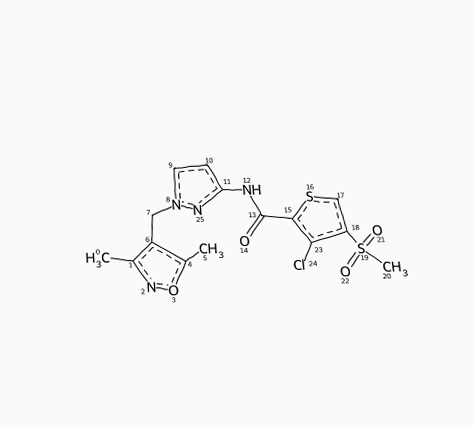 Cc1noc(C)c1Cn1ccc(NC(=O)c2scc(S(C)(=O)=O)c2Cl)n1